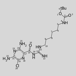 CC(C)(C)OC(=O)NCCCCCCNC(=N)NC(=O)c1nc(Cl)c(N)nc1N